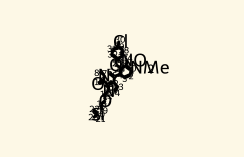 CNc1ccc(-c2cn(C)c(=O)c3c2ccn3COCC[Si](C)(C)C)c(Oc2ccc(Cl)cc2)c1[N+](=O)[O-]